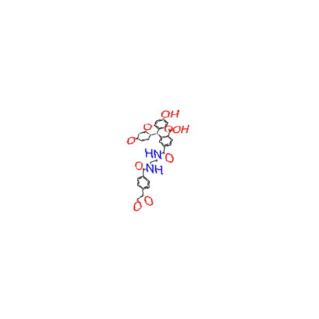 O=CC(=O)c1ccc(C(=O)NCCNC(=O)c2ccc(C(=O)O)c(C3c4ccc(O)cc4OC4=CC(=O)C=CC43)c2)cc1